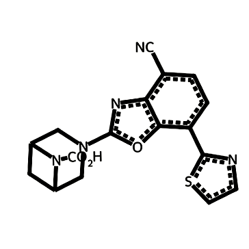 N#Cc1ccc(-c2nccs2)c2oc(N3CC4CC(C3)N4C(=O)O)nc12